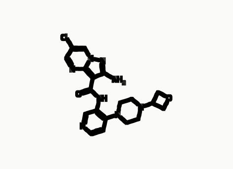 Nc1nn2cc(Cl)cnc2c1C(=O)Nc1cnccc1N1CCN(C2COC2)CC1